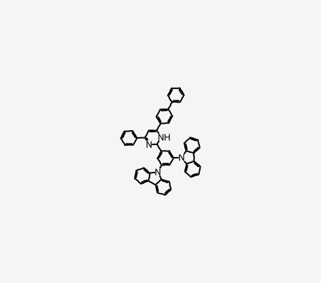 C1=C(c2ccc(-c3ccccc3)cc2)NC(c2cc(-n3c4ccccc4c4ccccc43)cc(-n3c4ccccc4c4ccccc43)c2)N=C1c1ccccc1